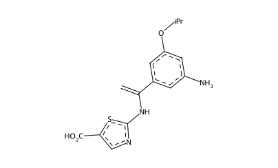 C=C(Nc1ncc(C(=O)O)s1)c1cc(N)cc(OC(C)C)c1